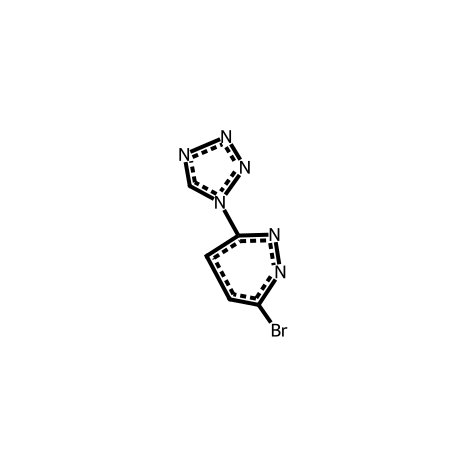 Brc1ccc(-n2cnnn2)nn1